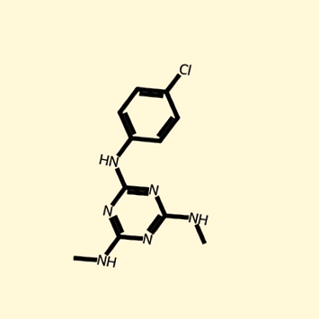 CNc1nc(NC)nc(Nc2ccc(Cl)cc2)n1